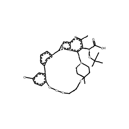 Cc1nc2cc3nn2c(c1[C@H](OC(C)(C)C)C(=O)O)N1CCC(C)(CCCCCOc2ccc(Cl)cc2-c2cccc-3c2)CC1